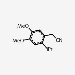 COc1cc(CC#N)c(C(C)C)cc1OC